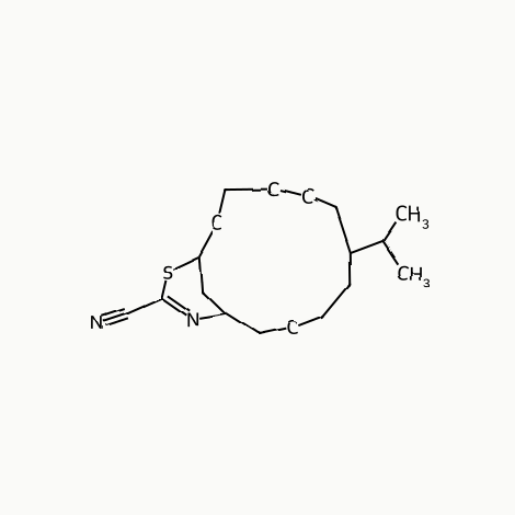 CC(C)C1CCCCCC2CC(CCCC1)N=C(C#N)S2